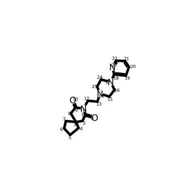 O=C1CC2(CCCC2)CC(=O)N1CCN1CCN(c2ccccn2)CC1